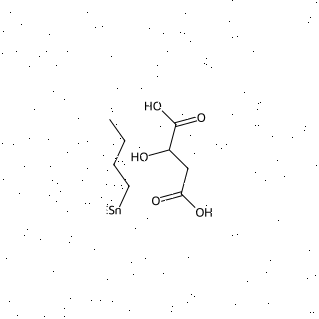 CCC[CH2][Sn].O=C(O)CC(O)C(=O)O